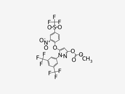 COC(=O)Oc1cc(Oc2ccc(S(=O)(=O)C(F)(F)F)cc2[N+](=O)[O-])n(-c2cc(C(F)(F)F)cc(C(F)(F)F)c2)n1